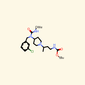 CONC(=O)N(Cc1cccc(Cl)c1)C1CCN(C(C)CCNC(=O)OC(C)(C)C)CC1